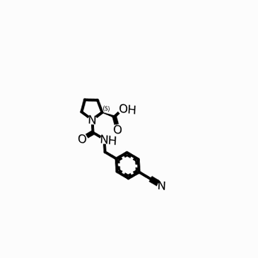 N#Cc1ccc(CNC(=O)N2CCC[C@H]2C(=O)O)cc1